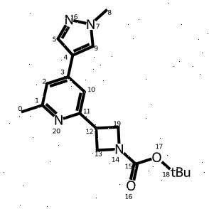 Cc1cc(-c2cnn(C)c2)cc(C2CN(C(=O)OC(C)(C)C)C2)n1